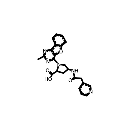 Cc1nc(N2CC(NC(=O)Cc3cccnc3)CC2C(=O)O)c2oc3ccccc3c2n1